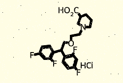 Cl.O=C(O)C1CCCN(CCOCC(c2ccc(F)cc2F)c2ccc(F)cc2F)C1